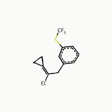 CCC(Cc1cccc(SC(F)(F)F)c1)=C1CC1